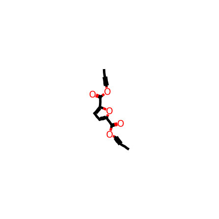 CC#COC(=O)c1ccc(C(=O)OC#CC)o1